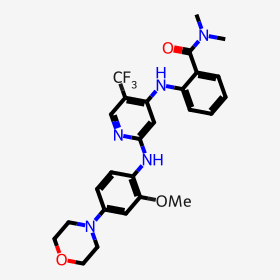 COc1cc(N2CCOCC2)ccc1Nc1cc(Nc2ccccc2C(=O)N(C)C)c(C(F)(F)F)cn1